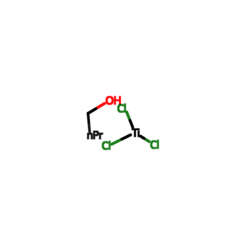 CCCCO.[Cl][Ti]([Cl])[Cl]